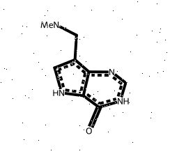 CNCc1c[nH]c2c(=O)[nH]cnc12